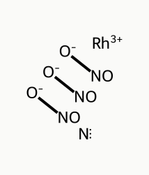 O=N[O-].O=N[O-].O=N[O-].[N].[Rh+3]